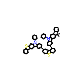 CC1(C)c2ccccc2-c2cc3c(cc21)c1cc(-c2cccc4sc5ccc(-c6ccc7c(c6)c6cc8c(cc6n7-c6ccccc6)sc6ccccc68)cc5c24)ccc1n3-c1ccccc1